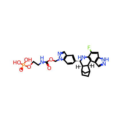 O=C(NCCOP(=O)(O)O)OCn1ncc2cc([C@@H]3Nc4c(F)cc5[nH]ncc5c4[C@H]4C5CCC(C5)[C@@H]34)ccc21